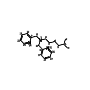 CC(C)CCCCN(Cc1ccccn1)Cc1ccccn1